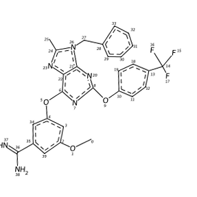 COc1cc(Oc2nc(Oc3ccc(C(F)(F)F)cc3)nc3c2nc(C)n3Cc2ccccc2)cc(C(=N)N)c1